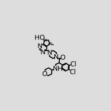 C[C@@H]1C[C@@H](O)c2ncnc(N3CCN(C(=O)C(CNC4CCOCC4)c4ccc(Cl)c(Cl)c4)CC3)c21